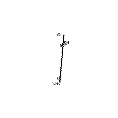 CCCCCCCCCCCCCCCCC(O)CNC(=O)CCCCCCCCCCCCCCCCCCCCCCCCCCCCCC(=O)CCCCCCCCCCCCC